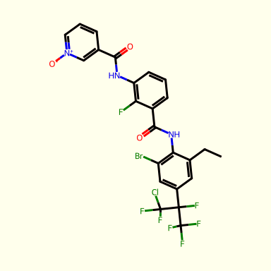 CCc1cc(C(F)(C(F)(F)F)C(F)(F)Cl)cc(Br)c1NC(=O)c1cccc(NC(=O)c2ccc[n+]([O-])c2)c1F